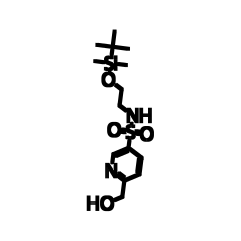 CC(C)(C)[Si](C)(C)OCCNS(=O)(=O)c1ccc(CO)nc1